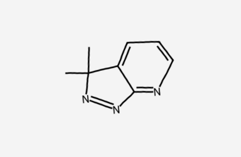 CC1(C)N=Nc2ncccc21